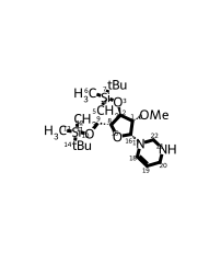 CO[C@H]1[C@H](O[Si](C)(C)C(C)(C)C)[C@@H](CO[Si](C)(C)C(C)(C)C)O[C@H]1N1C=CCNC1